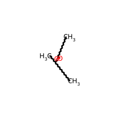 CCCCCCCCCCCCCCC(CCCCC)COC(=O)CCCCCCCCCCCCC